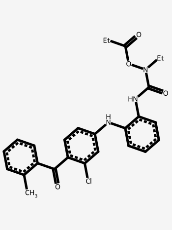 CCC(=O)ON(CC)C(=O)Nc1ccccc1Nc1ccc(C(=O)c2ccccc2C)c(Cl)c1